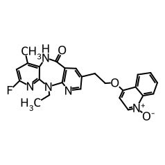 CCN1c2ncc(CCOc3cc[n+]([O-])c4ccccc34)cc2C(=O)Nc2c(C)cc(F)nc21